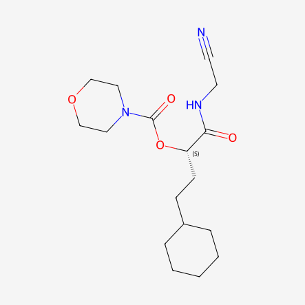 N#CCNC(=O)[C@H](CCC1CCCCC1)OC(=O)N1CCOCC1